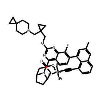 Cc1cc(-c2ccc3c(N4CC5CCC(C4)N5C(=O)OC(C)(C)C)nc(OCC4(CN5CCC6(CC5)CC6)CC4)nc3c2F)c2c(C#C[Si](C(C)C)(C(C)C)C(C)C)cccc2c1